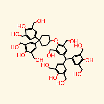 OCc1cc(C(c2cc(CO)c(O)c(CO)c2)c2cc(CO)c(OC3CCC(c4cc(CO)c(O)c(CO)c4)(c4cc(CO)c(O)c(CO)c4)CC3)c(CO)c2)cc(CO)c1O